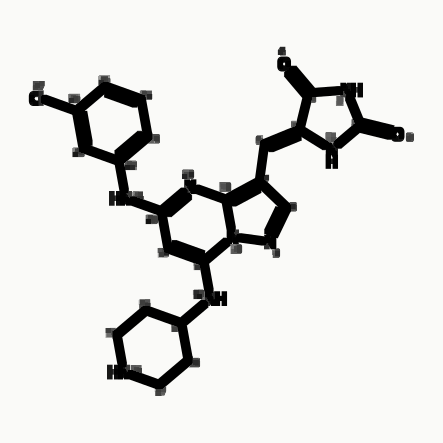 O=C1NC(=O)C(=Cc2cnn3c(NC4CCNCC4)cc(Nc4cccc(Cl)c4)nc23)N1